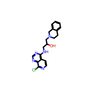 OC(CNc1ncnc2c(Cl)nccc12)CN1CCc2ccccc2C1